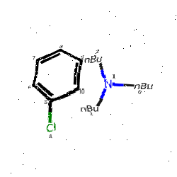 CCCCN(CCCC)CCCC.Clc1ccccc1